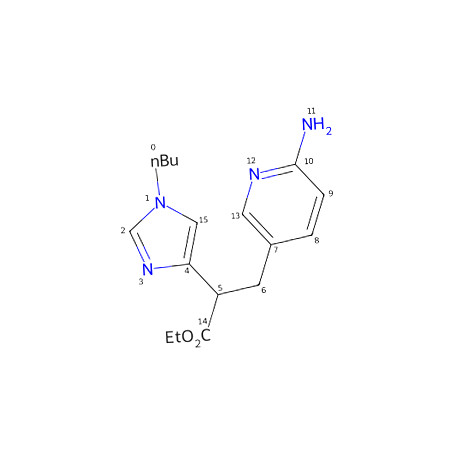 CCCCn1cnc(C(Cc2ccc(N)nc2)C(=O)OCC)c1